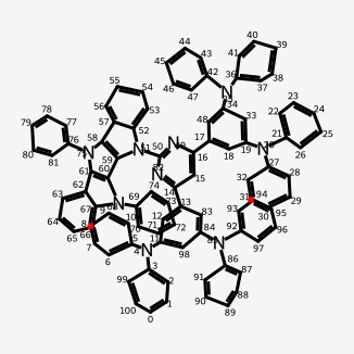 c1ccc(N(c2ccccc2)c2cc(-c3cc(-c4cc(N(c5ccccc5)c5ccccc5)cc(N(c5ccccc5)c5ccccc5)c4)nc(-n4c5ccccc5c5c4c4c(c6ccccc6n4-c4ccccc4)n5-c4ccccc4)n3)cc(N(c3ccccc3)c3ccccc3)c2)cc1